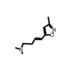 Cc1cc(C=CCCN(C)C)on1